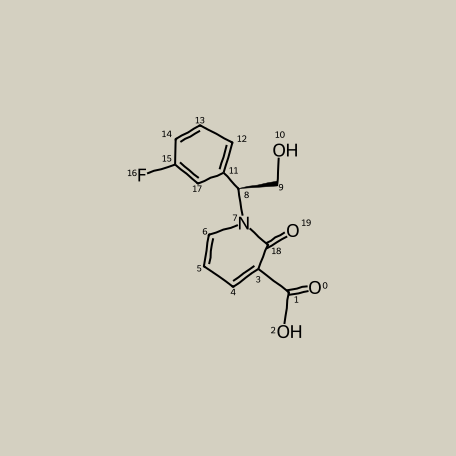 O=C(O)c1cccn([C@H](CO)c2cccc(F)c2)c1=O